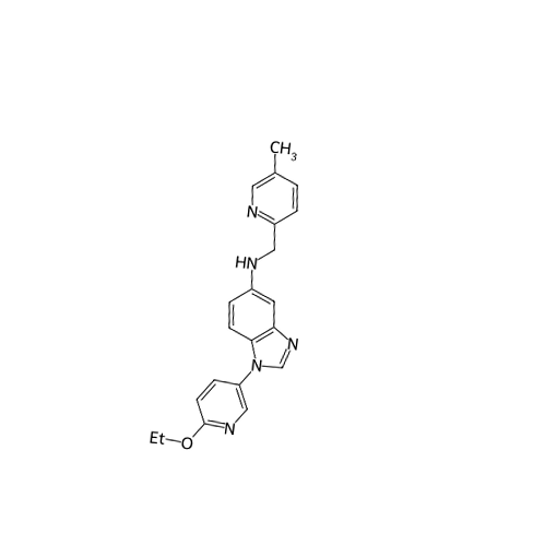 CCOc1ccc(-n2cnc3cc(NCc4ccc(C)cn4)ccc32)cn1